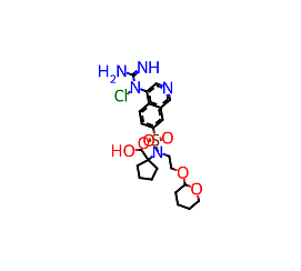 N=C(N)N(Cl)c1cncc2cc(S(=O)(=O)N(CCOC3CCCCO3)C3(C(=O)O)CCCC3)ccc12